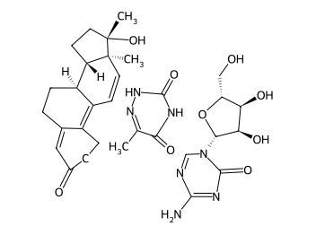 C[C@]1(O)CC[C@H]2[C@@H]3CCC4=CC(=O)CCC4=C3C=C[C@@]21C.Cc1n[nH]c(=O)[nH]c1=O.Nc1ncn([C@@H]2O[C@H](CO)[C@@H](O)[C@H]2O)c(=O)n1